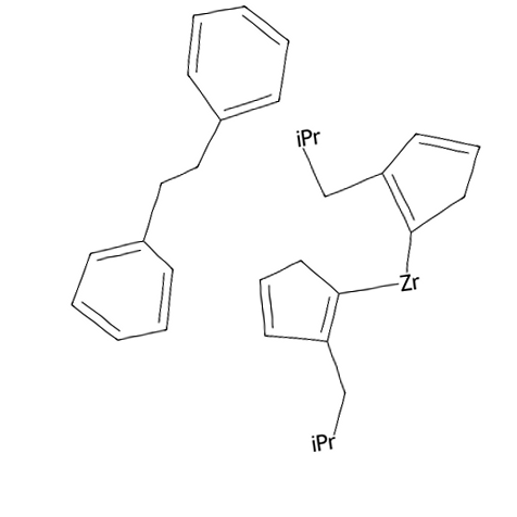 CC(C)CC1=[C]([Zr][C]2=C(CC(C)C)C=CC2)CC=C1.c1ccc(CCc2ccccc2)cc1